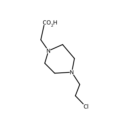 O=C(O)CN1CCN(CCCl)CC1